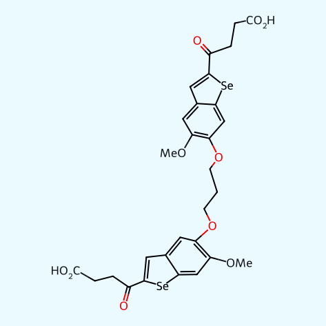 COc1cc2[se]c(C(=O)CCC(=O)O)cc2cc1OCCCOc1cc2[se]c(C(=O)CCC(=O)O)cc2cc1OC